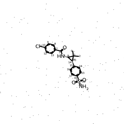 CC1(C)[C@@H](NC(=O)c2ccc(Cl)cc2)[C@@H]1c1ccc(S(N)(=O)=O)cc1